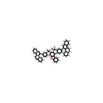 CC1(C)c2cc(-c3cc4ccccc4c4ccc5ccccc5c34)ccc2-c2c1c1c(c3c2oc2ccccc23)-c2ccc(-c3cc4ccccc4c4ccc5ccccc5c34)cc2C1(C)C